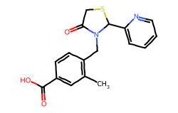 Cc1cc(C(=O)O)ccc1CN1C(=O)CSC1c1ccccn1